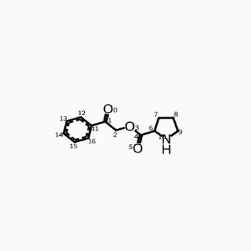 O=C(COC(=O)C1CCCN1)c1ccccc1